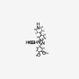 COc1ccc(-c2nc3ccc(C4CCNCC4)cc3[nH]2)cc1OC.Cl.Cl